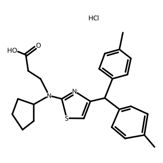 Cc1ccc(C(c2ccc(C)cc2)c2csc(N(CCC(=O)O)C3CCCC3)n2)cc1.Cl